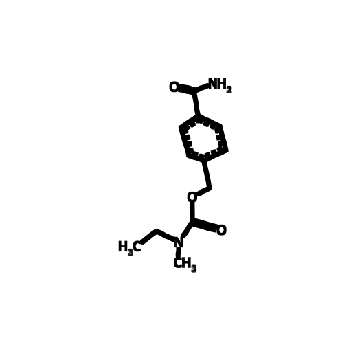 CCN(C)C(=O)OCc1ccc(C(N)=O)cc1